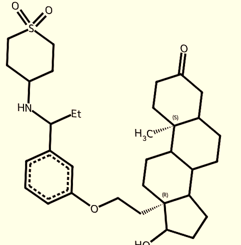 CCC(NC1CCS(=O)(=O)CC1)c1cccc(OCC[C@]23CCC4C(CCC5CC(=O)CC[C@@]54C)C2CCC3O)c1